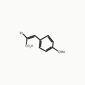 CC/C(=C/c1ccc(OC)cc1)C(=O)O